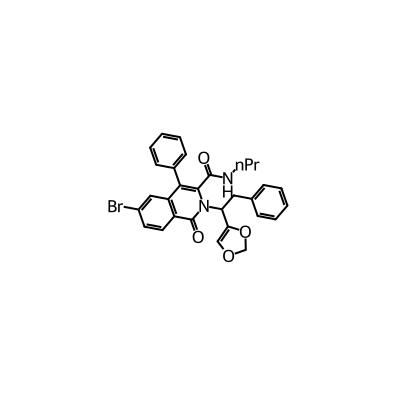 CCCNC(=O)c1c(-c2ccccc2)c2cc(Br)ccc2c(=O)n1C(Cc1ccccc1)C1=COCO1